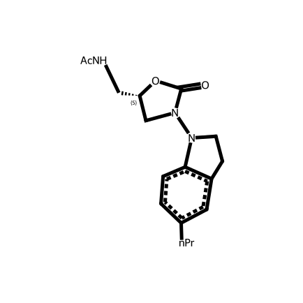 CCCc1ccc2c(c1)CCN2N1C[C@H](CNC(C)=O)OC1=O